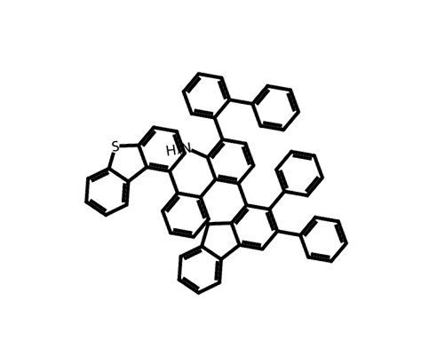 Nc1c(-c2ccccc2-c2ccccc2)ccc(-c2c3c(cc(-c4ccccc4)c2-c2ccccc2)-c2ccccc2C3)c1-c1ccccc1-c1cccc2sc3ccccc3c12